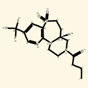 CCCC(=O)N1CCN2c3ncc(C(F)(F)F)cc3S(=O)(=O)CC[C@@H]2C1